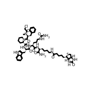 CN(C(=O)CCl)[C@@H](Cc1ccccc1)C(=O)N1CCCC[C@H]1C(=O)N[C@@H](Cc1c[nH]c2ccccc12)C(=O)N[C@@H](CCCNC(N)=O)C(=O)N[C@@H](CCCCNC(=O)CCCC[C@H]1SC[C@H]2NC(=O)N[C@H]21)C(N)=O